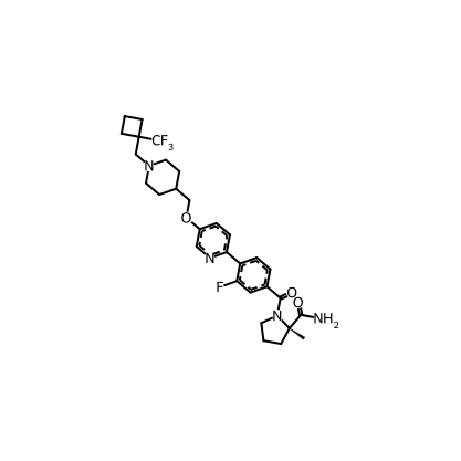 C[C@@]1(C(N)=O)CCCN1C(=O)c1ccc(-c2ccc(OCC3CCN(CC4(C(F)(F)F)CCC4)CC3)cn2)c(F)c1